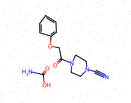 N#CN1CCN(C(=O)COc2ccccc2)CC1.NC(=O)O